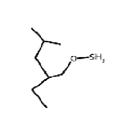 CCC(CO[SiH3])CC(C)C